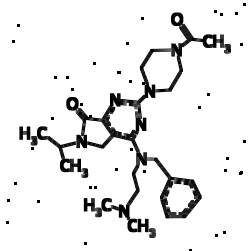 CC(=O)N1CCN(c2nc3c(c(N(CCN(C)C)Cc4ccccc4)n2)CN(C(C)C)C3=O)CC1